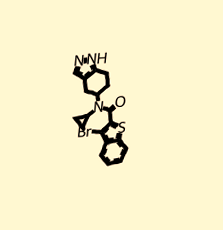 O=C(c1sc2ccccc2c1Br)N(C1CC1)C1CCc2[nH]ncc2C1